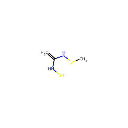 C=C(NS)NSC